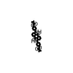 C=C(C)C(=O)Oc1ccc(Nc2cccc3c2C(=O)c2cccc(Nc4ccc(OC(=O)C(=C)C)cc4)c2C3=O)cc1